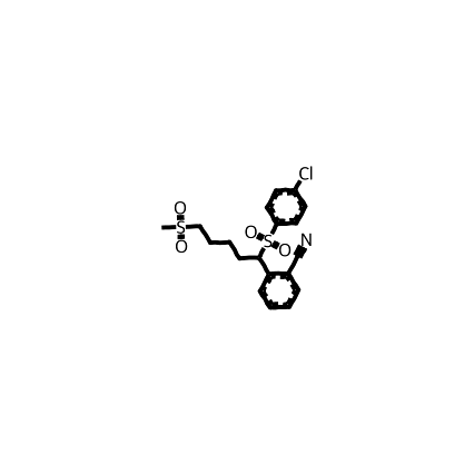 CS(=O)(=O)CCCCC(c1ccccc1C#N)S(=O)(=O)c1ccc(Cl)cc1